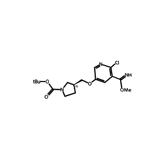 COC(=N)c1cc(OC[C@H]2CCN(C(=O)OC(C)(C)C)C2)cnc1Cl